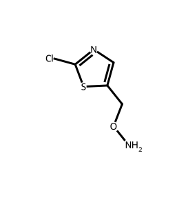 NOCc1cnc(Cl)s1